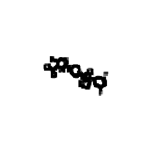 CC1([C@@H]2CC=NN2C(=O)N2CCN(c3ncc(F)c(C(=O)Cl)n3)CC2)C=C(F)C=C(F)C1